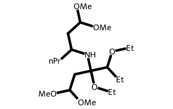 CCCC(CC(OC)OC)NC(CC(OC)OC)(OCC)C(CC)OCC